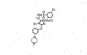 CCc1ccc(OC)c(S(=O)(=O)N[C@H](C)c2nnc(Oc3cccc(N4CCN(C)CC4)c3)n2CC)c1